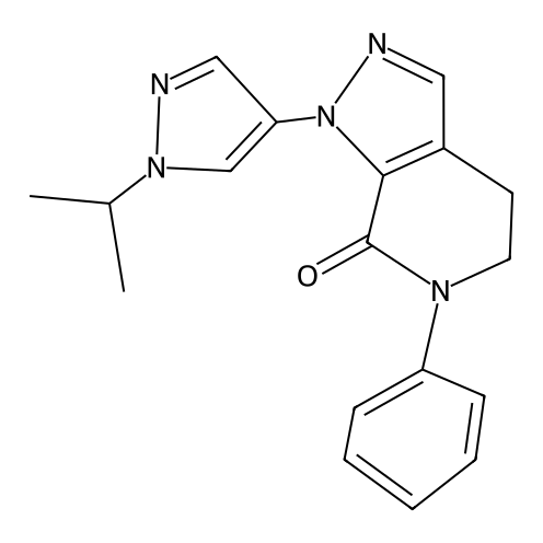 CC(C)n1cc(-n2ncc3c2C(=O)N(c2ccccc2)CC3)cn1